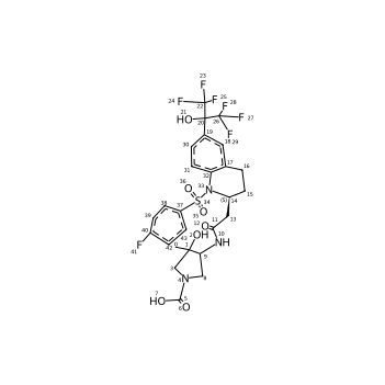 CC1(O)CN(C(=O)O)CC1NC(=O)C[C@@H]1CCc2cc(C(O)(C(F)(F)F)C(F)(F)F)ccc2N1S(=O)(=O)c1ccc(F)cc1